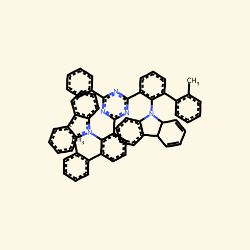 Cc1ccccc1-c1cccc(-c2nc(-c3ccccc3)nc(-c3cccc(-c4ccccc4C)c3-n3c4ccccc4c4ccccc43)n2)c1N1c2ccccc2C2C=CC=CC21